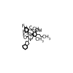 CCCc1c(C)c(CN(C(=O)Nc2ccc(F)cc2F)C2Cc3ccccc3C2)cc(C(C)(C)C)c1O